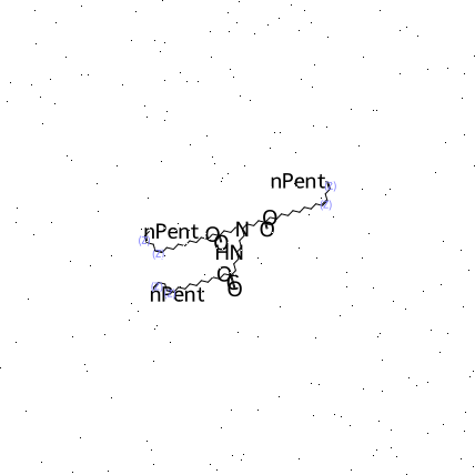 CCCCC/C=C\C/C=C\CCCCCCCCOC(=O)CCCN(CCCNCCCC(=C=O)OCCCCCCCC/C=C\C/C=C\CCCCC)CCCC(=O)OCCCCCCCC/C=C\C/C=C\CCCCC